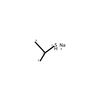 CC(C)S.[Na]